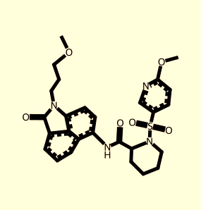 COCCCN1C(=O)c2cccc3c(NC(=O)C4CCCCN4S(=O)(=O)c4ccc(OC)nc4)ccc1c23